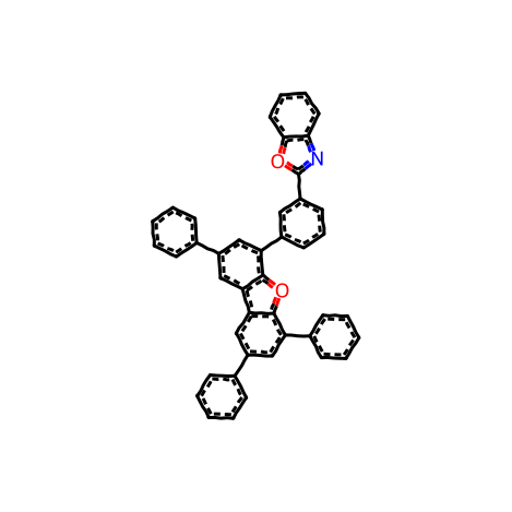 c1ccc(-c2cc(-c3ccccc3)c3oc4c(-c5cccc(-c6nc7ccccc7o6)c5)cc(-c5ccccc5)cc4c3c2)cc1